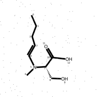 CCCC=CN(C)[C@@H](CO)C(=O)O